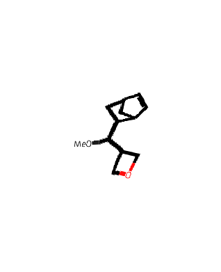 COC(C1COC1)C1CC2C=CC1C2